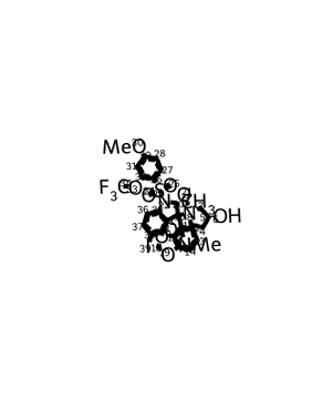 CNC(=O)[C@@H]1C[C@@H](O)C[N+]1(C)C1(c2cccc3c2OCO3)C(=O)N(S(=O)(=O)c2ccc(OC)cc2OC(F)(F)F)c2ccc(I)cc21